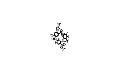 COc1cc(N2CC(N(C)C)C2)c([N+](=O)[O-])cc1Nc1ncc(C(=O)OC(C)C)c(N2CC(C)(C)c3nc(C)ccc32)n1